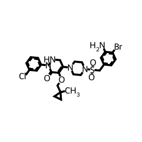 CC1(COC2=C(N3CCN(S(=O)(=O)Cc4ccc(Br)c(N)c4)CC3)CNN(c3cccc(Cl)c3)C2=O)CC1